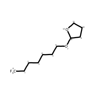 FC(F)(F)CCCCCCOC1CCCO1